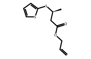 C=CCOC(=O)C[C@H](C)Sc1cccs1